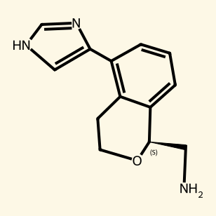 NC[C@H]1OCCc2c(-c3c[nH]cn3)cccc21